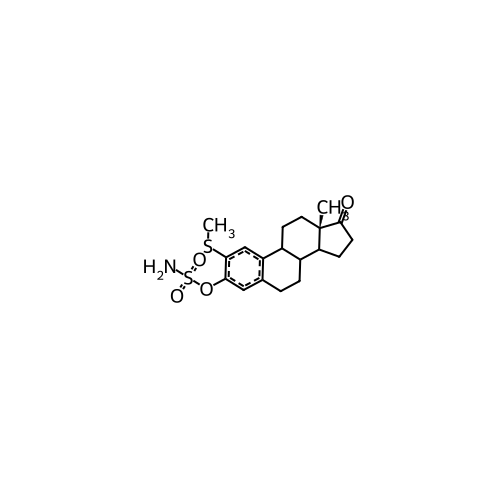 CSc1cc2c(cc1OS(N)(=O)=O)CCC1C2CC[C@]2(C)C(=O)CCC12